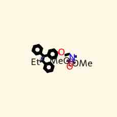 CC/C(=C(\c1ccccc1)c1ccc(OCCN(C)P(=O)(OC)OC)cc1)c1ccccc1